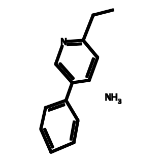 CCc1ccc(-c2ccccc2)cn1.N